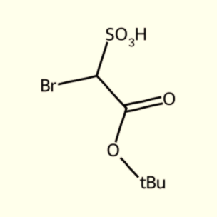 CC(C)(C)OC(=O)C(Br)S(=O)(=O)O